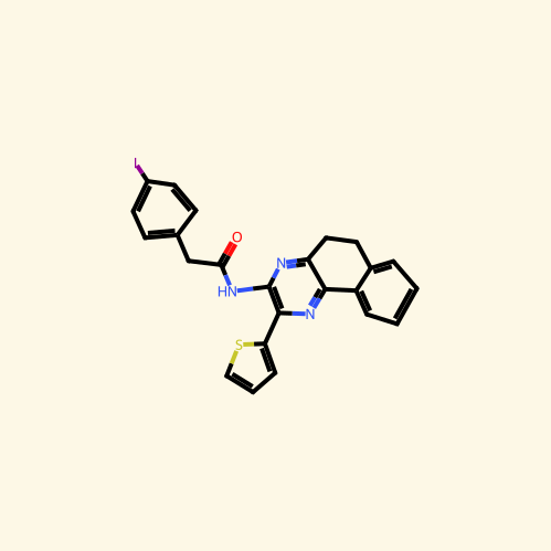 O=C(Cc1ccc(I)cc1)Nc1nc2c(nc1-c1cccs1)-c1ccccc1CC2